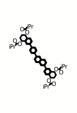 CC(C)C(=O)OC1CCC(OC(=O)C(C)C)c2cc(-c3ccc(-c4ccc5cc(-c6ccc7c(c6)C(OC(=O)C(C)C)CCC7OC(=O)C(C)C)ccc5c4)cc3)ccc21